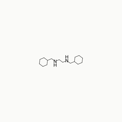 C1CCC(CNCCNCC2CCCCC2)CC1